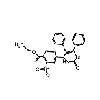 CCOC(=O)c1ccc(C2NC(=O)NC(c3ccccc3)=C2c2ccccc2)cc1[N+](=O)[O-]